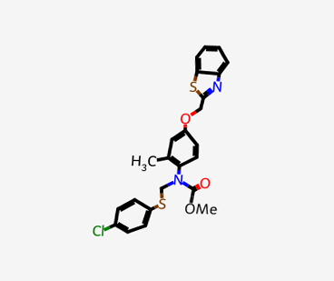 COC(=O)N(CSc1ccc(Cl)cc1)c1ccc(OCc2nc3ccccc3s2)cc1C